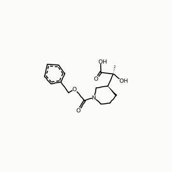 C[C@@](O)(C(=O)O)[C@H]1CCCN(C(=O)OCc2ccccc2)C1